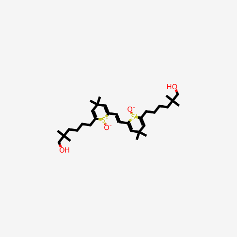 CC1(C)C=C(C=CC2=CC(C)(C)C=C(CCCCC(C)(C)CO)[S+]2[O-])[S+]([O-])C(CCCCC(C)(C)CO)=C1